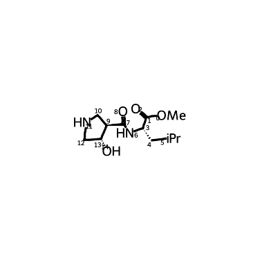 COC(=O)[C@H](CC(C)C)NC(=O)[C@@H]1CNC[C@H]1O